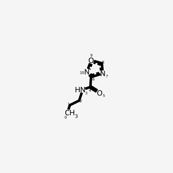 CCCNC(=O)c1n[c]on1